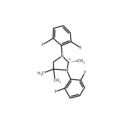 C[C@H]1N(c2c(F)cccc2F)CC(C)(C)N1c1c(F)cccc1F